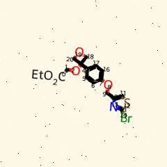 CCOC(=O)COC1(c2ccc(OCc3csc(Br)n3)cc2)COC1